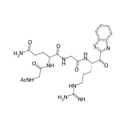 CC(=O)NCC(=O)NC(CCC(N)=O)C(=O)NCC(=O)N[C@@H](CCCNC(=N)N)C(=O)c1nc2ccccc2s1